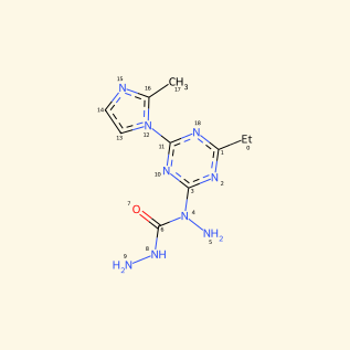 CCc1nc(N(N)C(=O)NN)nc(-n2ccnc2C)n1